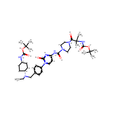 CCN(Cc1ccc(-n2ccc(NC(=O)N3CCN(C(=O)C(C)(C)NC(=O)OC(C)(C)C)CC3)nc2=O)cc1)[C@H]1CC[C@H](NC(=O)OC(C)(C)C)CC1